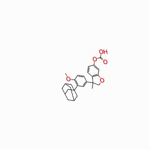 COc1ccc(C2(C)COc3cc(OC(=O)O)ccc32)cc1C12CC3CC(CC(C3)C1)C2